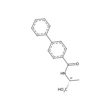 C[C@@H](NC(=O)c1ccc(-c2ccccc2)cc1)C(=O)O